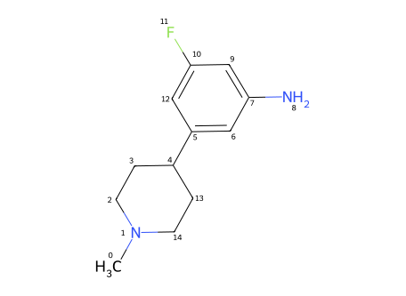 CN1CCC(c2cc(N)cc(F)c2)CC1